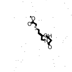 COC(=O)CSCC=C1CN2C(=O)C[C@H]2O1